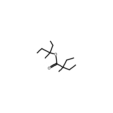 CCC(C)(CC)OC(=O)C(C)(CC)CC